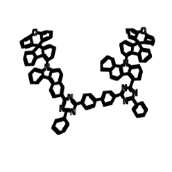 c1ccc(-c2nc(-c3ccc(-c4ccc(-c5nc(-c6ccccc6)nc(-c6cccc7c6c6ccc8ccccc8c6n7-c6cccc7c6-c6ccccc6C76c7ccccc7Oc7ccccc76)n5)cc4)cc3)nc(-c3ccc4c(ccc5c4c4ccccc4n5-c4cccc5c4-c4ccccc4C54c5ccccc5Oc5ccccc54)c3)n2)cc1